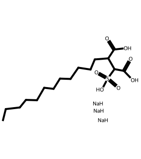 CCCCCCCCCCCCC(C(=O)O)C(C(=O)O)S(=O)(=O)O.[NaH].[NaH].[NaH]